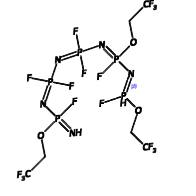 N=P(F)(N=P(F)(F)N=P(F)(F)N=P(F)(/N=[PH](\F)OCC(F)(F)F)OCC(F)(F)F)OCC(F)(F)F